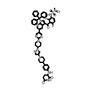 CCN(C)S(=O)(=O)Nc1ccc(F)c(C(=O)c2cn(C(c3ccccc3)(c3ccccc3)c3ccccc3)c3ncc(-c4cnc(N5CCC(n6cc(N7CCC(c8ccc(NC9CCC(=O)NC9=O)cc8)CC7)cn6)CC5)nc4)cc23)c1F